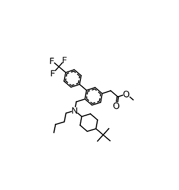 CCCCN(Cc1ccc(CC(=O)OC)cc1-c1ccc(C(F)(F)F)cc1)C1CCC(C(C)(C)C)CC1